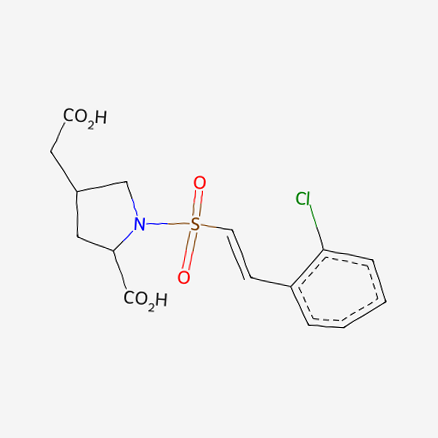 O=C(O)CC1CC(C(=O)O)N(S(=O)(=O)/C=C/c2ccccc2Cl)C1